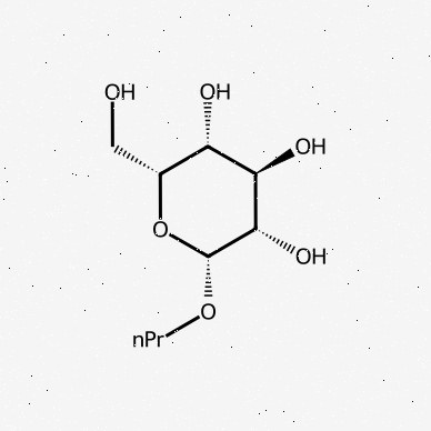 CCCO[C@@H]1O[C@H](CO)[C@H](O)[C@@H](O)[C@@H]1O